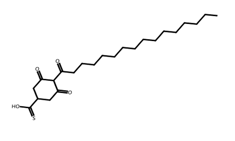 CCCCCCCCCCCCCCCC(=O)C1C(=O)CC(C(O)=S)CC1=O